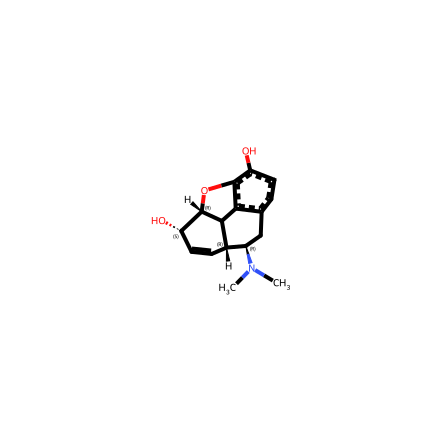 CN(C)[C@@H]1Cc2ccc(O)c3c2C2[C@H]1C=C[C@H](O)[C@@H]2O3